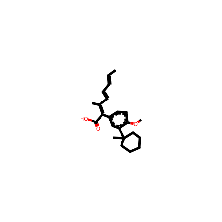 CC=CC=CC(C)=C(C(=O)O)c1ccc(OC)c(C2(C)CCCCC2)c1